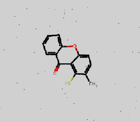 Cc1ccc2oc3ccccc3c(=O)c2c1S